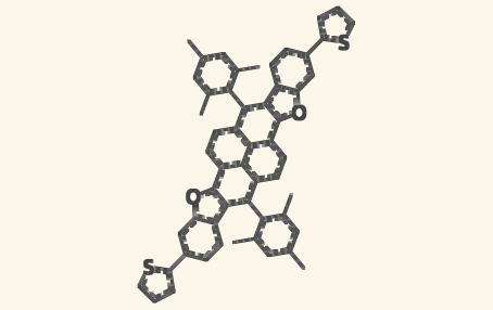 Cc1cc(C)c(-c2c3ccc4c5oc6cc(-c7cccs7)ccc6c5c(-c5c(C)cc(C)cc5C)c5ccc(c6oc7cc(-c8cccs8)ccc7c26)c3c54)c(C)c1